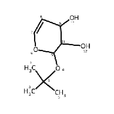 CC(C)(C)OC1OC=CC(O)C1O